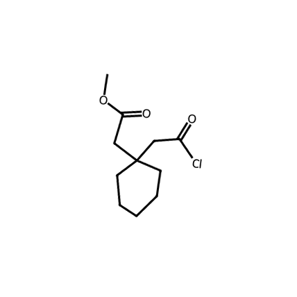 COC(=O)CC1(CC(=O)Cl)CCCCC1